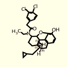 CCN(C(=O)Cc1ccc(Cl)c(Cl)c1)C1CC[C@@]2(O)[C@H]3Cc4ccc(O)c5c4[C@@]2(CCN3CC2CC2)C1O5